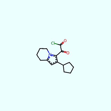 O=C(Cl)C(=O)c1c(C2CCCC2)cc2n1CCCC2